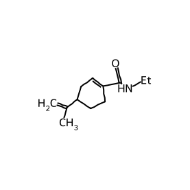 C=C(C)C1CC=C(C(=O)NCC)CC1